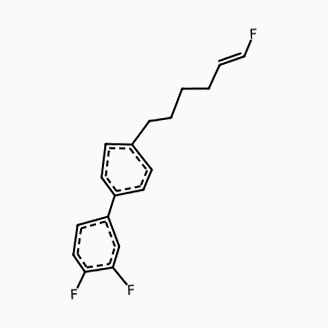 FC=CCCCCc1ccc(-c2ccc(F)c(F)c2)cc1